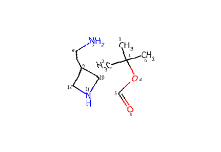 CC(C)(C)OC=O.NCC1CNC1